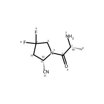 C[C@@H](N)C(=O)N1CC(F)(F)C[C@H]1C#N